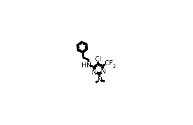 CN(C)c1nc(NCCc2ccccc2)c(Cl)c(C(F)(F)F)n1